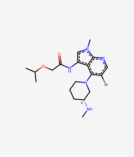 CN[C@@H]1CCCN(c2c(Br)cnc3c2c(NC(=O)COC(C)C)cn3C)C1